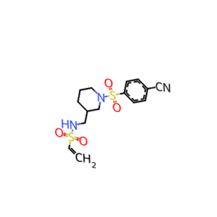 C=CS(=O)(=O)NCC1CCCN(S(=O)(=O)c2ccc(C#N)cc2)C1